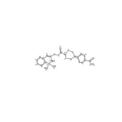 CC(=O)c1ccc(N2CCN(C(=O)CCC3=Nc4ccccc4S(O)(O)N3)CC2)cc1